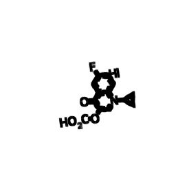 I.O=C(O)Oc1cn(C2CC2)c2ccc(F)cc2c1=O